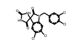 O=C1NC(=O)C2(N1)C(=O)N(Cc1ccc(Cl)c(Cl)c1)c1cc(Cl)c(Cl)cc12